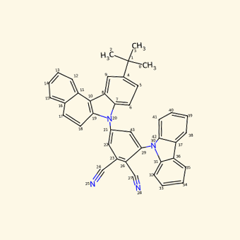 CC(C)(C)c1ccc2c(c1)c1c3ccccc3ccc1n2-c1cc(C#N)c(C#N)c(-n2c3ccccc3c3ccccc32)c1